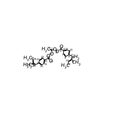 C=C(OOC(=O)c1ccc([SiH2]C(C)=CC)cc1)OOC(=O)c1ccc([SiH2]C(C)=CC)cc1